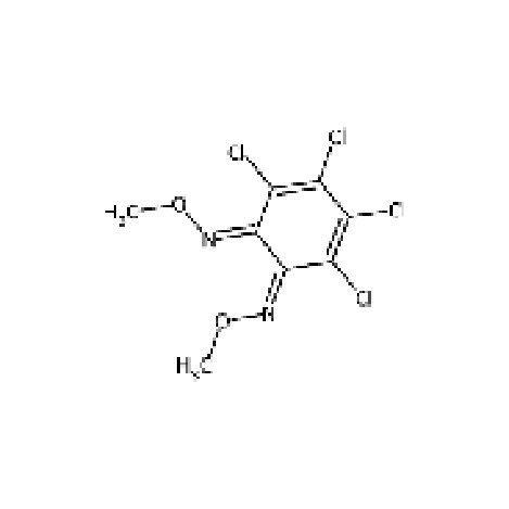 CON=C1C(=NOC)C(Cl)=C(Cl)C(Cl)=C1Cl